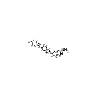 CN1CCC(OCc2ccc(CNc3ccc4cnc(N)cc4c3)cc2)CC1